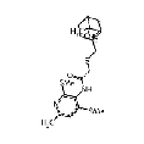 CSc1cc(C)nc(SC)c1NC(=O)CSCC1=C2CC(CC1)C2(C)C